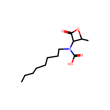 CCCCCCCCN(C(=O)O)C1C(=O)OC1C